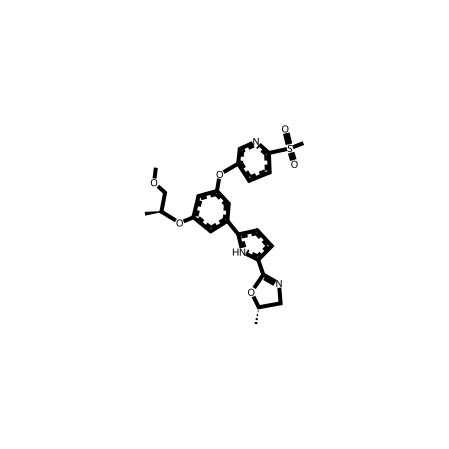 COC[C@H](C)Oc1cc(Oc2ccc(S(C)(=O)=O)nc2)cc(-c2ccc(C3=NC[C@H](C)O3)[nH]2)c1